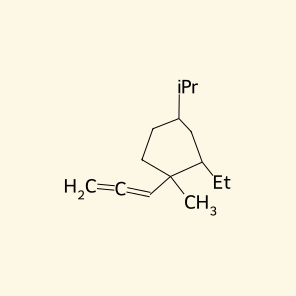 C=C=CC1(C)CCC(C(C)C)CC1CC